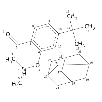 C[SiH](C)Oc1c(C=O)ccc(C(C)(C)C)c1C12CC3CC(CC(C3)C1)C2